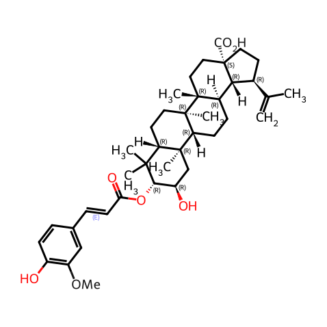 C=C(C)[C@@H]1CC[C@]2(C(=O)O)CC[C@]3(C)[C@H](CC[C@@H]4[C@@]5(C)C[C@@H](O)[C@H](OC(=O)/C=C/c6ccc(O)c(OC)c6)C(C)(C)[C@@H]5CC[C@]43C)[C@@H]12